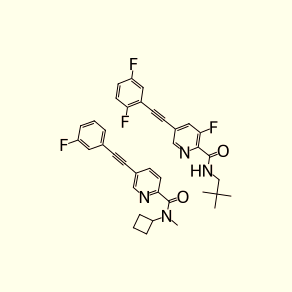 CC(C)(C)CNC(=O)c1ncc(C#Cc2cc(F)ccc2F)cc1F.CN(C(=O)c1ccc(C#Cc2cccc(F)c2)cn1)C1CCC1